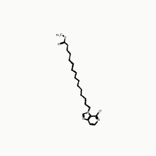 COC(=O)CCCCCCCCCCCCCCCn1cnc2ccnc(Cl)c21